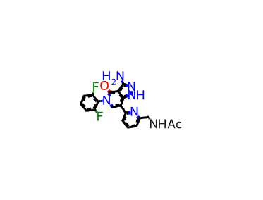 CC(=O)NCc1cccc(-c2cn(-c3c(F)cccc3F)c(=O)c3c(N)n[nH]c23)n1